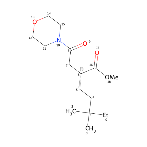 CCC(C)(C)CC[C@H](CC(=O)N1CCOCC1)C(=O)OC